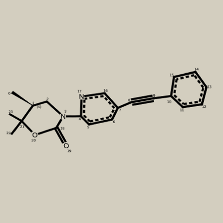 C[C@H]1CN(c2ccc(C#Cc3ccccc3)cn2)C(=O)OC1(C)C